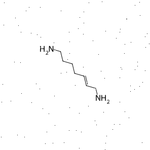 NCC=CCCCCN